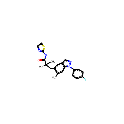 Cc1cc2c(cnn2-c2ccc(F)cc2)cc1CC(C)(C)C(=O)Nc1nccs1